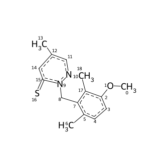 COc1ccc(C)c(Cn2ncc(C)cc2=S)c1C